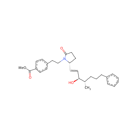 COC(=O)c1ccc(CCN2C(=O)CC[C@@H]2C=C[C@H](O)[C@@H](C)CCCc2ccccc2)cc1